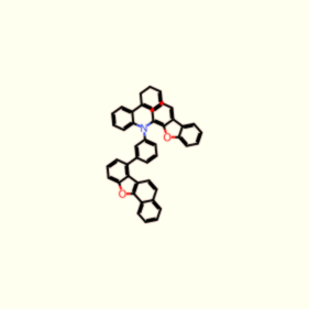 C1=CCCC(c2ccccc2N(c2cccc(-c3cccc4oc5c6ccccc6ccc5c34)c2)c2cccc3c2oc2ccccc23)=C1